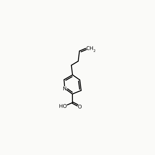 C=CCCc1ccc(C(=O)O)nc1